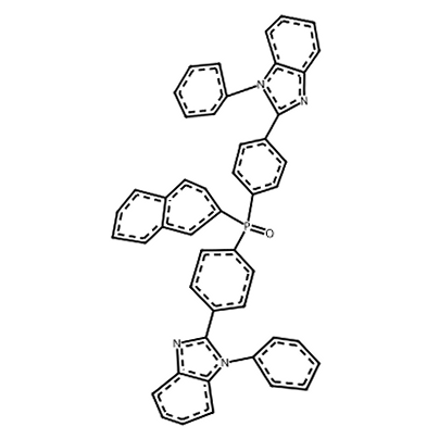 O=P(c1ccc(-c2nc3ccccc3n2-c2ccccc2)cc1)(c1ccc(-c2nc3ccccc3n2-c2ccccc2)cc1)c1ccc2ccccc2c1